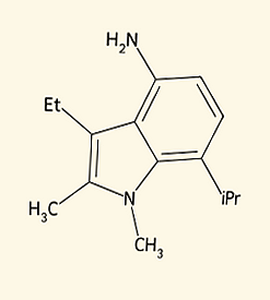 CCc1c(C)n(C)c2c(C(C)C)ccc(N)c12